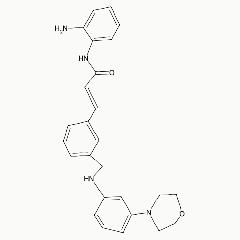 Nc1ccccc1NC(=O)/C=C/c1cccc(CNc2cccc(N3CCOCC3)c2)c1